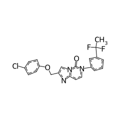 CC(F)(F)c1cccc(-n2ccc3nc(COc4ccc(Cl)cc4)cn3c2=O)c1